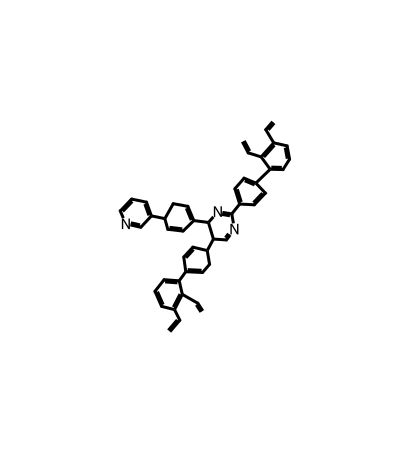 C=Cc1cccc(C2=CCC(C3C=NC(c4ccc(-c5cccc(C=C)c5C=C)cc4)=NC3C3=CCC(c4cccnc4)C=C3)C=C2)c1C=C